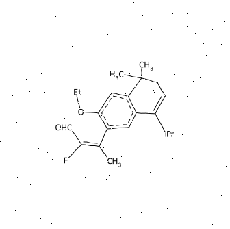 CCOc1cc2c(cc1/C(C)=C(/F)C=O)C(C(C)C)=CCC2(C)C